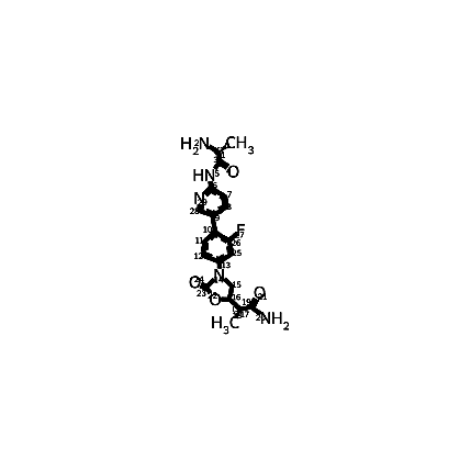 C[C@H](N)C(=O)Nc1ccc(-c2ccc(N3CC([C@H](C)C(N)=O)OC3=O)cc2F)cn1